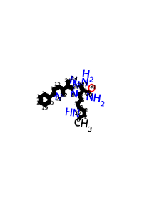 CC1CCC(CCc2nc3c(-c4ccc(-c5ccccc5)nc4)cnn3c(N)c2C(N)=O)N1